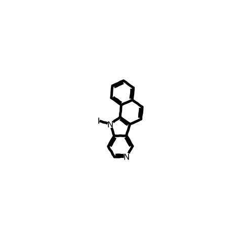 In1c2ccncc2c2ccc3ccccc3c21